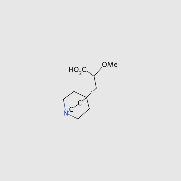 COC(CC12CCN(CC1)CC2)C(=O)O